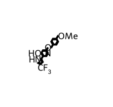 COCc1ccc(COc2cc(O)c(-c3cc(C(F)(F)F)c[nH]3)cn2)cc1